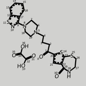 O=C(CCCN1CCN(c2nsc3ccccc23)CC1)c1cc2c(s1)SCCNC2=O.O=C(O)C(=O)O